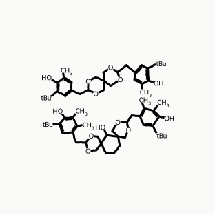 Cc1c(CC2OCC3(CCCC4(COC(Cc5cc(C(C)(C)C)c(O)c(C)c5C)OC4)C3O)CO2)cc(C(C)(C)C)c(O)c1C.Cc1cc(CC2OCC3(CO2)COC(Cc2cc(C)c(O)c(C(C)(C)C)c2)OC3)cc(C(C)(C)C)c1O